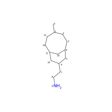 CC1CCC2CC(CCN)CC(CC1)C2